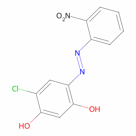 O=[N+]([O-])c1ccccc1N=Nc1cc(Cl)c(O)cc1O